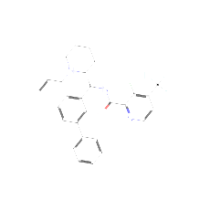 C=CCN1CCCC[C@H]1C(NC(=O)c1nccc(C(F)(F)F)c1Cl)c1cccc(-c2ccccc2)c1